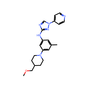 COCC1CCN(c2cc(C)cc(Nc3ncn(-c4ccncc4)n3)c2)CC1